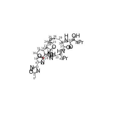 Cc1nc(-c2coc(-c3nc4oc3[C@@]35c6ccccc6NC3Oc3ccc(cc35)C[C@H](NC(=O)[C@@H](O)C(C)C)C(=O)NC4C(C)C)n2)no1